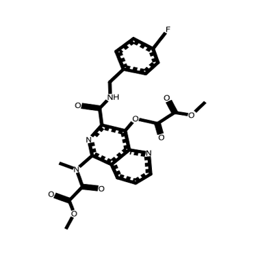 COC(=O)C(=O)Oc1c(C(=O)NCc2ccc(F)cc2)nc(N(C)C(=O)C(=O)OC)c2cccnc12